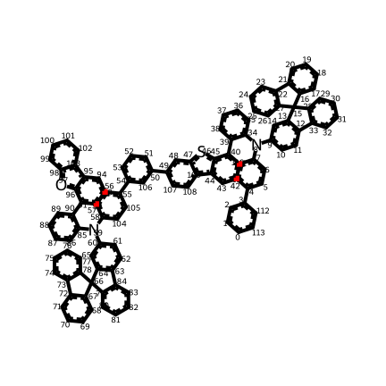 c1ccc(-c2ccc(N(c3ccc4c(c3)C3(c5ccccc5-c5ccccc53)c3ccccc3-4)c3ccccc3-c3cccc4c3sc3cc(-c5cccc(-c6ccc(N(c7ccc8c(c7)C7(c9ccccc9-c9ccccc97)c7ccccc7-8)c7ccccc7-c7cccc8c7oc7ccccc78)cc6)c5)ccc34)cc2)cc1